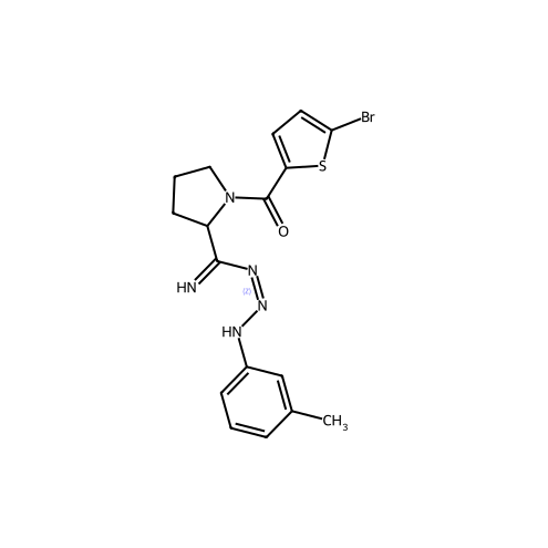 Cc1cccc(N/N=N\C(=N)C2CCCN2C(=O)c2ccc(Br)s2)c1